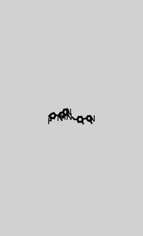 Cc1cc(-c2ccc(CCNc3nccc4cc(-c5cccc(F)c5)ncc34)cc2C)ccn1